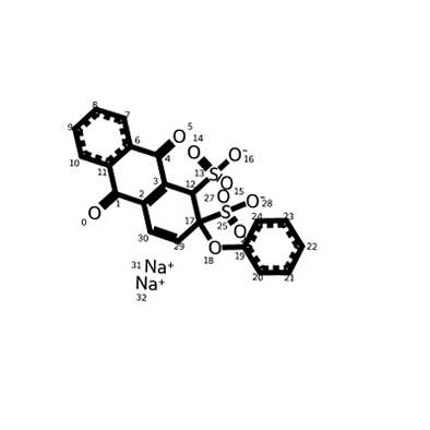 O=C1C2=C(C(=O)c3ccccc31)C(S(=O)(=O)[O-])C(Oc1ccccc1)(S(=O)(=O)[O-])C=C2.[Na+].[Na+]